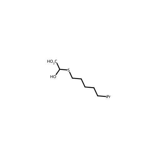 CC(C)CCCCCSC(O)C(=O)O